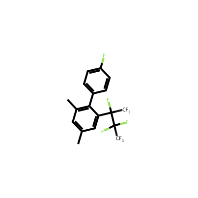 Cc1[c]c(C)c(-c2ccc(F)cc2)c(C(F)(C(F)(F)F)C(F)(F)C(F)(F)F)c1